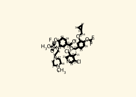 CN1CCN(CCN(c2cc(C(=O)O[C@@H](Cc3c(Cl)cncc3Cl)c3ccc(OC(F)F)c(OCC4CC4)c3)ccc2C(F)(F)F)S(C)(=O)=O)CC1